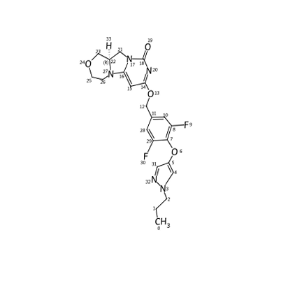 CCCn1cc(Oc2c(F)cc(COc3cc4n(c(=O)n3)C[C@@H]3COCCN43)cc2F)cn1